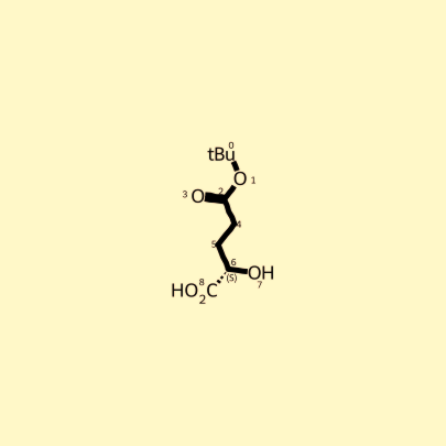 CC(C)(C)OC(=O)CC[C@H](O)C(=O)O